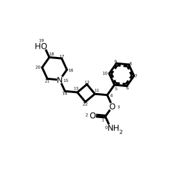 NC(=O)OC(c1ccccc1)C1CC(CN2CCC(O)CC2)C1